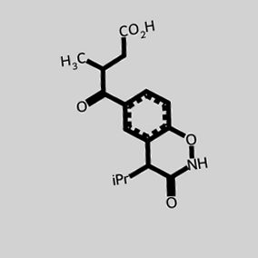 CC(CC(=O)O)C(=O)c1ccc2c(c1)C(C(C)C)C(=O)NO2